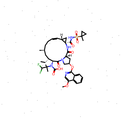 CC[C@@H]1C[C@@H](C)CC/C=C\[C@@H]2C[C@@]2(C(=O)NS(=O)(=O)C2(C)CC2)NC(=O)[C@@H]2C[C@@H](Oc3ncc(OC)c4ccccc34)CN2C(=O)[C@H]1N(C(=O)O)C(C)(C)C(F)F